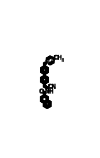 CN1CCN(Cc2ccc(-c3ccc(C[C@@H](C#N)NC(=O)C4CCc5ccccc5C4)cc3)cc2)CC1